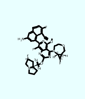 [2H]C([2H])(Oc1nc(N2CCOC[C@@H]3[C@@H](F)[C@@H]32)c2c(OC)nc(-c3cc(N)cc4ccc(F)c(C#C)c34)c(F)c2n1)[C@@]12CCCN1C[C@H](F)C2